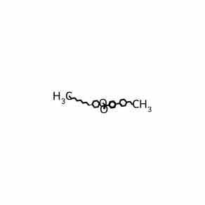 CCCCCCCC[C@H]1CC[C@H](OC(=O)c2ccc(C3=CCC(CCC)CC3)cc2)CC1